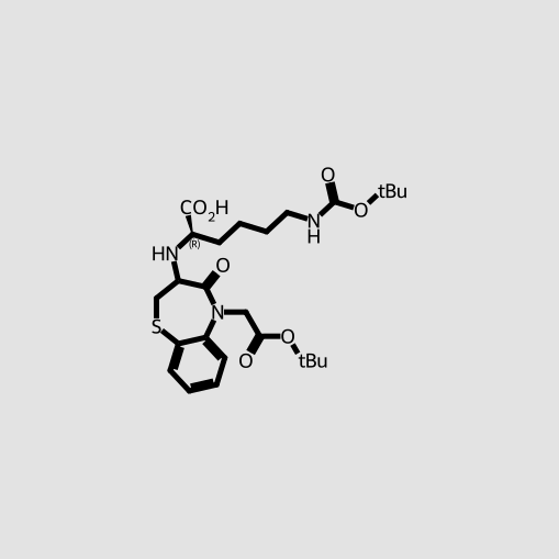 CC(C)(C)OC(=O)CN1C(=O)C(N[C@H](CCCCNC(=O)OC(C)(C)C)C(=O)O)CSc2ccccc21